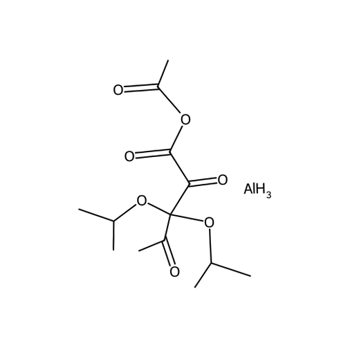 CC(=O)OC(=O)C(=O)C(OC(C)C)(OC(C)C)C(C)=O.[AlH3]